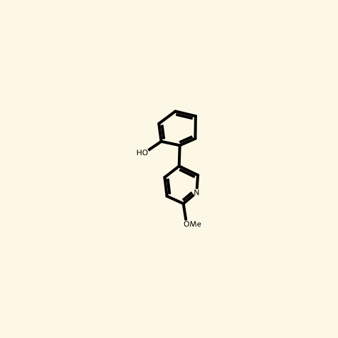 COc1ccc(-c2ccccc2O)cn1